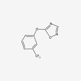 FC(F)(F)c1cccc(Oc2n[c]no2)c1